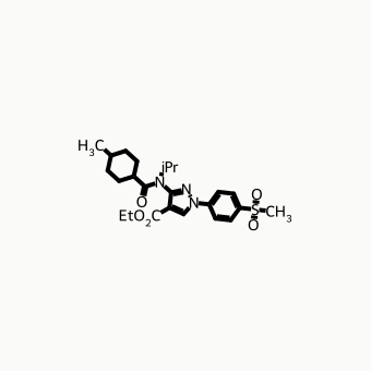 CCOC(=O)c1cn(-c2ccc(S(C)(=O)=O)cc2)nc1N(C(=O)C1CCC(C)CC1)C(C)C